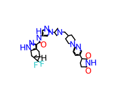 C[C@@]12Cc3[nH]nc(C(=O)Nc4cnn(C5CN(CC6CCN(c7ccc(C8CCC(=O)NC8=O)cn7)CC6)C5)c4)c3C[C@@H]1C2(F)F